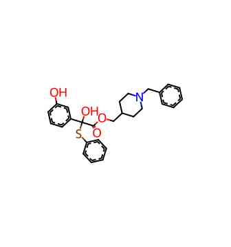 O=C(OCC1CCN(Cc2ccccc2)CC1)C(O)(Sc1ccccc1)c1cccc(O)c1